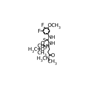 COc1cc(NC(=S)NN(CCC(=O)N(C)C)C(=O)OC(C)(C)C)cc(F)c1F